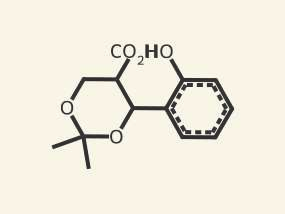 CC1(C)OCC(C(=O)O)C(c2ccccc2O)O1